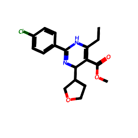 CCC1=C(C(=O)OC)C(C2CCOC2)N=C(c2ccc(Cl)cc2)N1